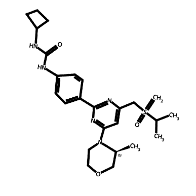 C=S(=O)(Cc1cc(N2CCOC[C@@H]2C)nc(-c2ccc(NC(=O)NC3CCC3)cc2)n1)C(C)C